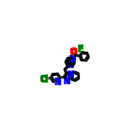 O=C(c1ccccc1F)N1CC2CCC1CN2Cc1c(-c2ccc(Cl)cn2)nc2ccccn12